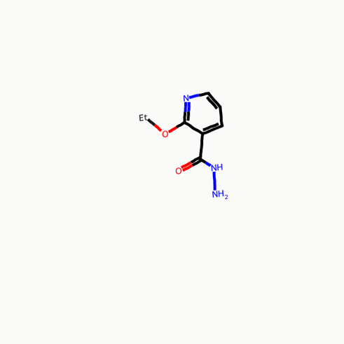 CCOc1ncccc1C(=O)NN